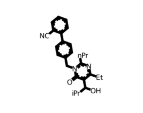 CCCc1nc(CC)c(C(O)C(C)C)c(=O)n1Cc1ccc(-c2ccccc2C#N)cc1